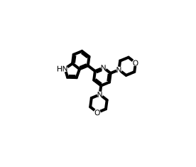 c1cc(-c2cc(N3CCOCC3)cc(N3CCOCC3)n2)c2cc[nH]c2c1